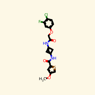 COc1csc(C(=O)NC23CC(NC(=O)COc4ccc(Cl)c(F)c4)(C2)C3)c1